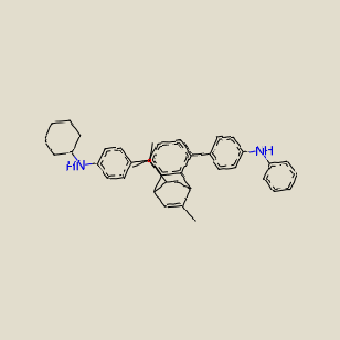 CC1=CC2c3c(-c4ccc(NC5CCCCC5)cc4)ccc(-c4ccc(Nc5ccccc5)cc4)c3C1CC2C(C)C